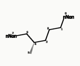 CCCCCCCCCCCC[C@H](C)CCCCCCCCCC